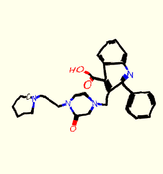 O=C(O)c1c(CN2CCN(CCN3CCCCC3)C(=O)C2)c(-c2ccccc2)nc2ccccc12